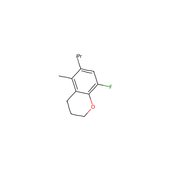 Cc1c(C(C)C)cc(F)c2c1CCCO2